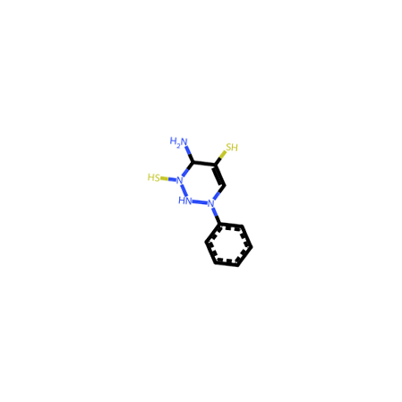 NC1C(S)=CN(c2ccccc2)NN1S